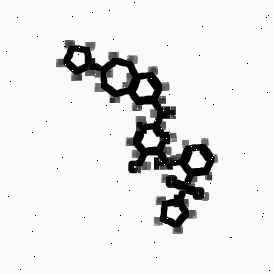 O=S(=O)(c1ccccc1Nc1nc(Nc2ccc3c(c2)CC[C@@H](N2CCCC2)CC3)ncc1Cl)N1CCCC1